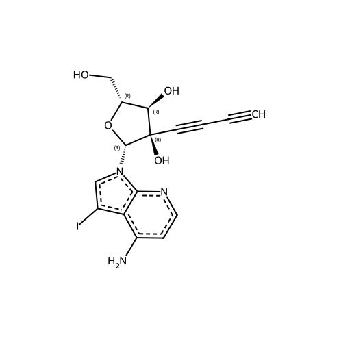 C#CC#C[C@@]1(O)[C@H](O)[C@@H](CO)O[C@H]1n1cc(I)c2c(N)ccnc21